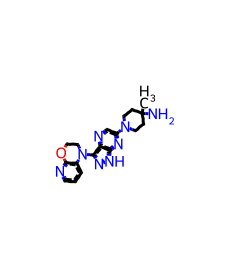 CC1(N)CCN(c2cnc3c(N4CCOc5ncccc54)n[nH]c3n2)CC1